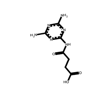 Nc1nc(N)nc(NC(=O)CCC(=O)O)n1